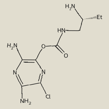 CC[C@@H](N)CNC(=O)Oc1nc(Cl)c(N)nc1N